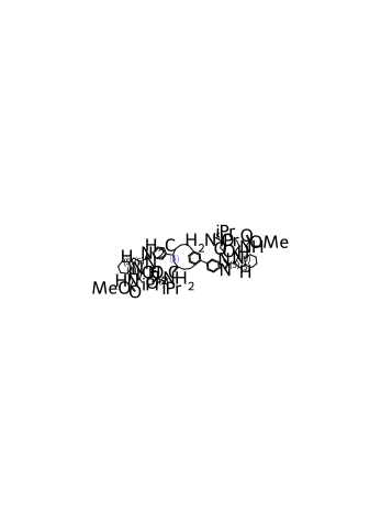 C=C1/C=C(/c2ccc3nc([C@@H]4C[C@@H]5CCCC[C@@H]5N4C(=O)C(NC(=O)OC)C(C)C)n(COC(=O)[C@@H](N)C(C)C)c3c2)C(=C)CCc2ccc(c(-c3ccc4nc([C@@H]5C[C@@H]6CCCC[C@@H]6N5C(=O)C(NC(=O)OC)C(C)C)n(COC(=O)[C@@H](N)C(C)C)c4c3)c2)CC1